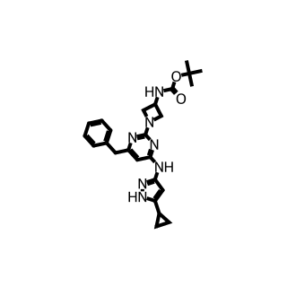 CC(C)(C)OC(=O)NC1CN(c2nc(Cc3ccccc3)cc(Nc3cc(C4CC4)[nH]n3)n2)C1